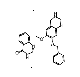 COc1cc2c(cc1OCc1ccccc1)N=CNC2.O=c1[nH]cnc2ccccc12